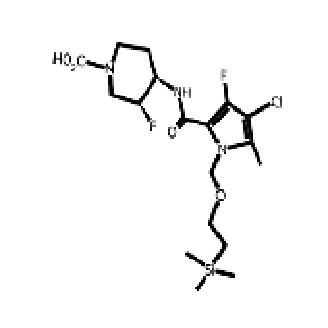 Cc1c(Cl)c(F)c(C(=O)N[C@@H]2CCN(C(=O)O)C[C@@H]2F)n1COCC[Si](C)(C)C